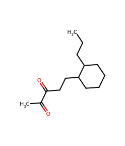 CCCC1CCCCC1CCC(=O)C(C)=O